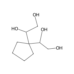 OCC(O)C1(C(O)CO)CCCC1